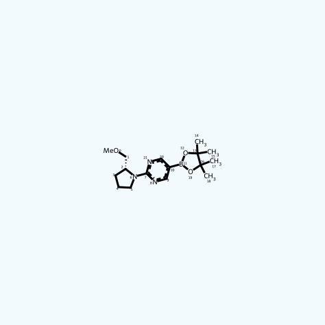 COC[C@H]1CCCN1c1ncc(B2OC(C)(C)C(C)(C)O2)cn1